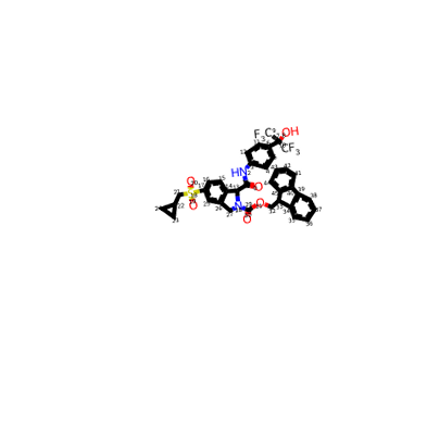 O=C(Nc1ccc(C(O)(C(F)(F)F)C(F)(F)F)cc1)C1c2ccc(S(=O)(=O)CC3CC3)cc2CN1C(=O)OCC1c2ccccc2-c2ccccc21